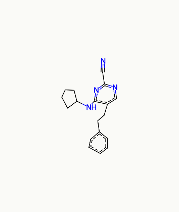 N#Cc1ncc(CCc2ccccc2)c(NC2CCCC2)n1